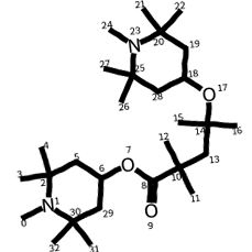 CN1C(C)(C)CC(OC(=O)C(C)(C)CC(C)(C)OC2CC(C)(C)N(C)C(C)(C)C2)CC1(C)C